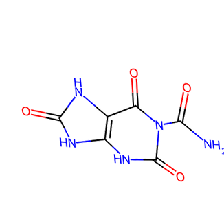 NC(=O)n1c(=O)[nH]c2[nH]c(=O)[nH]c2c1=O